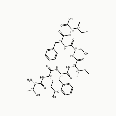 CC[C@H](C)[C@H](NC(=O)[C@H](Cc1ccccc1)NC(=O)[C@H](CO)NC(=O)[C@@H](NC(=O)[C@H](Cc1ccccc1)NC(=O)[C@H](CCC(=O)O)NC(=O)[C@@H](N)[C@@H](C)O)[C@@H](C)CC)C(=O)O